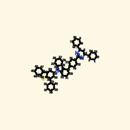 c1ccc(-c2cc(-c3ccccc3)nc(-c3ccc(-c4cccc5c4c4ccccc4n5-c4cc(-c5ccccc5)c5sc6ccccc6c5c4)cc3)n2)cc1